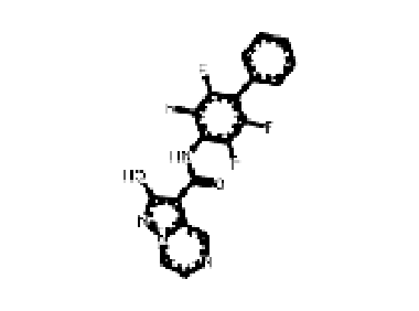 O=C(Nc1c(F)c(F)c(-c2ccccc2)c(F)c1F)c1c(O)nn2ccncc12